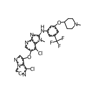 CN1CCC(Oc2cc(Nc3nc4ncc(Oc5cnn6ccnc(Cl)c56)c(Cl)c4n3C)cc(C(F)(F)F)c2)CC1